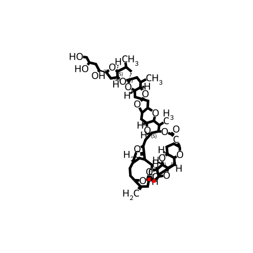 C=C1C[C@@H]2CC3C4CC(CCC1O2)OC(C[C@@H]1O[C@@H]2CC5OC6(CC5OC2C(C)C1OC(=O)CC1CC[C@@H]2O[C@@H]5C7OC8C[C@]3(O[C@H]7C2O1)O[C@@H]85)C[C@@H]1O[C@]2(CC(C)[C@@H]3O[C@H](C(O)CC(O)CO)C[C@@H]3O2)CC(C)[C@@H]1O6)C4=C